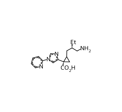 CC[C@@H](CN)CC1C[C@]1(C(=O)O)c1cn(-c2ccccn2)cn1